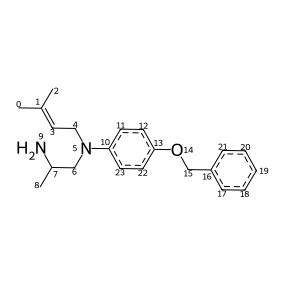 CC(C)=CCN(CC(C)N)c1ccc(OCc2ccccc2)cc1